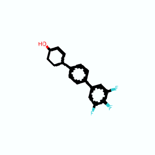 OC1CCC(c2ccc(-c3cc(F)c(F)c(F)c3)cc2)CC1